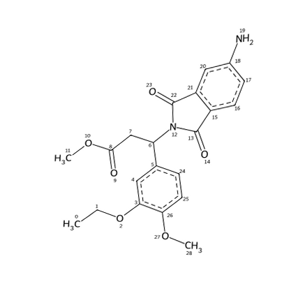 CCOc1cc(C(CC(=O)OC)N2C(=O)c3ccc(N)cc3C2=O)ccc1OC